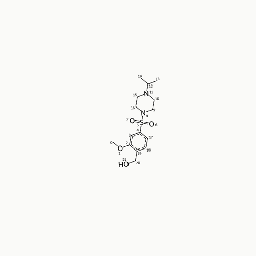 COc1cc(S(=O)(=O)N2CCN(C(C)C)CC2)ccc1CO